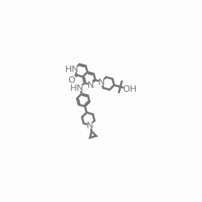 CC(C)(O)C1CCN(c2cc3cc[nH]c(=O)c3c(Nc3ccc(C4CCN(C5CC5)CC4)cc3)n2)CC1